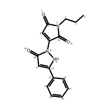 CCCN1C(=O)C=C(n2[nH]c(-c3ccccc3)cc2=O)C1=O